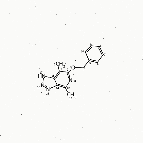 [CH2]c1c(OCc2ccccc2)nc(C)c2nn[nH]c12